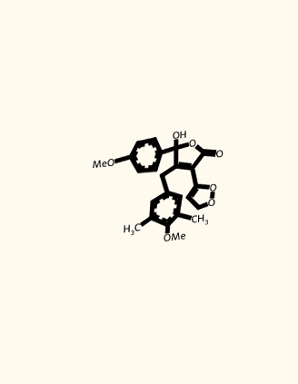 COc1ccc(C2(O)OC(=O)C(C3=CCOO3)=C2Cc2cc(C)c(OC)c(C)c2)cc1